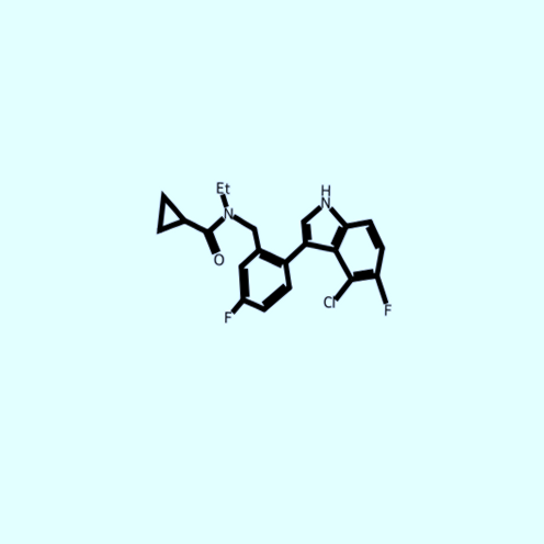 CCN(Cc1cc(F)ccc1-c1c[nH]c2ccc(F)c(Cl)c12)C(=O)C1CC1